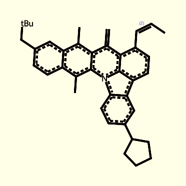 C=c1c2c(C)c3cc(CC(C)(C)C)ccc3c(C)c2n2c3ccc(C4CCCC4)cc3c3ccc(/C=C\C)c1c32